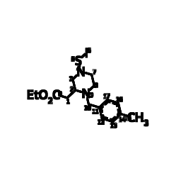 CCOC(=O)CC1CN(SI)CCN1Cc1ccc(C)cc1